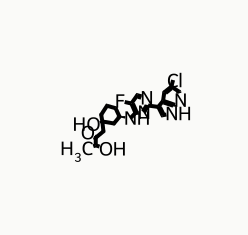 CC(O)C(=O)C[C@]1(O)CCC[C@@H](Nc2nc(-c3c[nH]c4ncc(Cl)cc34)ncc2F)C1